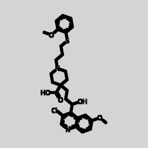 COc1ccc2ncc(Cl)c(C(O)CCC3(C(=O)O)CCN(CCCSc4ccccc4OC)CC3)c2c1